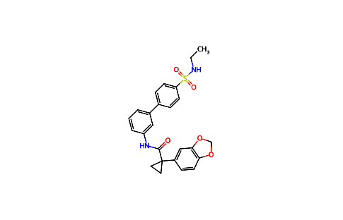 CCNS(=O)(=O)c1ccc(-c2cccc(NC(=O)C3(c4ccc5c(c4)OCO5)CC3)c2)cc1